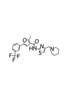 Cc1oc(-c2cccc(C(F)(F)F)c2)cc1C(=O)Nc1nc(CN2CCCCC2)cs1